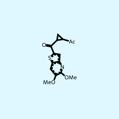 COc1cc2sc(C(=O)C3CC3C(C)=O)cc2nc1OC